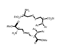 CCOC(=O)[C@@H](N)CSSC[C@@H](C(=O)OCC)N(C(C)=O)C(C)=O.COC(=O)[C@@H](N)CSSC[C@@H](C(=O)OC)N(C(C)=O)C(C)=O